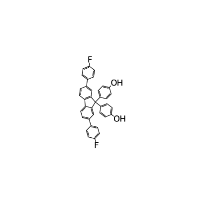 Oc1ccc(C2(c3ccc(O)cc3)c3cc(-c4ccc(F)cc4)ccc3-c3ccc(-c4ccc(F)cc4)cc32)cc1